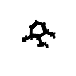 Nc1c(Br)[c]ccc1Br